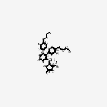 CCCCc1ccc(-c2cccc([SiH2]C3=C(C)C=C(C)C3)c2-c2ccc(CCCC)cc2)cc1